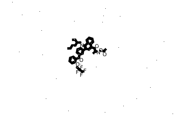 CCCCC(CC)Cn1c2ccc(C(=O)c3ccccc3OCC(F)(F)C(F)F)cc2c2cc(C(=O)/C(C)=N\OC(C)=O)c3ccccc3c21